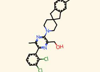 Cc1ccc2c(c1)CC1(CCN(c3nc(C)c(-c4cccc(Cl)c4Cl)nc3CO)CC1)C2